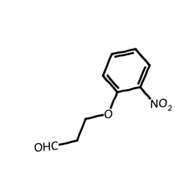 O=CCCOc1ccccc1[N+](=O)[O-]